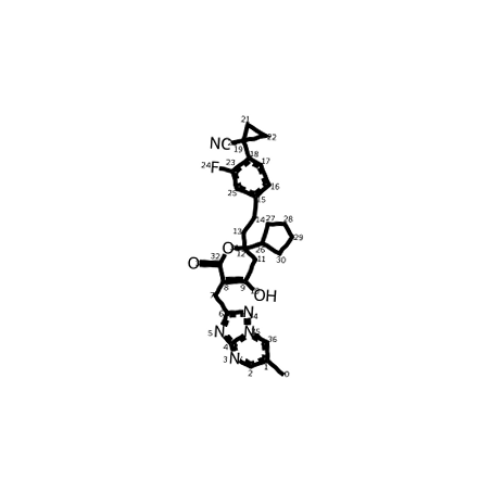 Cc1cnc2nc(CC3=C(O)CC(CCc4ccc(C5(C#N)CC5)c(F)c4)(C4CCCC4)OC3=O)nn2c1